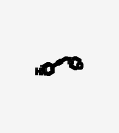 [C]1=CC(C#CCN2CCOCC2)=CCN1